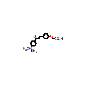 CN(C)c1ccc(C(=O)/C=C/c2ccc(OCC(=O)O)cc2)cc1